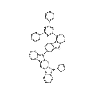 C1=CCC(n2c3ccccc3c3cc4c5ccccc5n(-c5ccc6c(c5)oc5cccc(-c7nc(-c8ccccc8)nc(-c8ccccc8)n7)c56)c4cc32)=C1